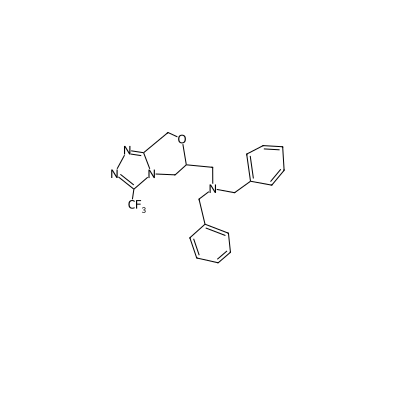 FC(F)(F)c1nnc2n1CC(CN(Cc1ccccc1)Cc1ccccc1)OC2